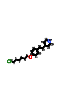 ClCCCCCCOc1ccc(C=Cc2ccncc2)cc1